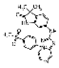 CC1(C)C(=O)Nc2cc(NC3=N[N+]4(c5ccc(S(C)(=O)=O)cc5)C=CN=CC4=N3)ccc21